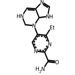 CCc1nc(C(N)=O)ncc1N1CNC=C2N=CNC21